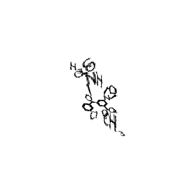 COC(=O)NCCOC(c1cccc(Cl)c1)c1cc(C(=O)OC)cc(N2CCOCC2)c1